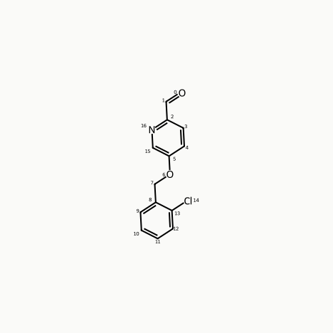 O=Cc1ccc(OCc2ccccc2Cl)cn1